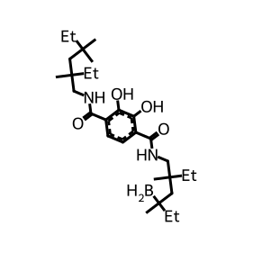 BC(C)(CC)CC(C)(CC)CNC(=O)c1ccc(C(=O)NCC(C)(CC)CC(C)(C)CC)c(O)c1O